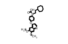 COc1cc2nccc(Oc3ccc(N(CCC4CCCCCC4)C(=O)O)cc3)c2cc1OC